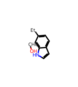 CCc1ccc2cc[nH]c2c1.O=CO